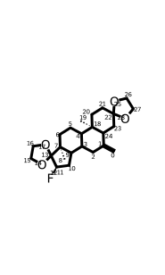 C=C1CC2C(CC[C@@]3(C)C2C[C@@H](F)C32OCCO2)[C@@]2(C)CCC3(CC12)OCCO3